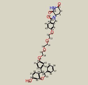 O=C1CCC(N2Cc3cc(OCCOCCOCCOc4ccc(C5c6ccc(O)cc6OC[C@@H]5c5ccccc5)cc4)ccc3C2=O)C(=O)N1